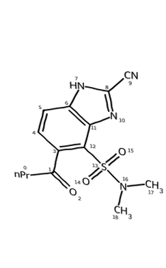 CCCC(=O)c1ccc2[nH]c(C#N)nc2c1S(=O)(=O)N(C)C